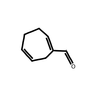 O=[C]C1=CCCC=CC1